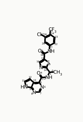 CC(NC(=O)c1ncnc2[nH]ccc12)c1ncc(C(=O)Nc2ccc(C(F)(F)F)c(Cl)c2)s1